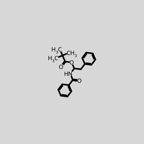 CC(C)(C)C(=O)OC(Cc1ccccc1)NC(=O)c1ccccc1